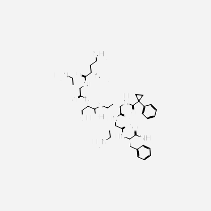 C[C@@H](O)[C@H](NC(=O)[C@H](CCN)NC(=O)[C@@H](N)CCN)C(O)NCC[C@H](NC(=O)C1(c2ccccc2)CC1)C(=O)N[C@@H](CCN)C(=O)N[C@H](Cc1ccccc1)C(N)=O